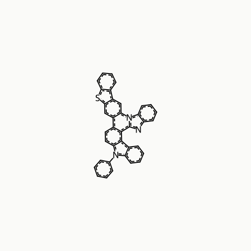 c1ccc(-n2c3ccccc3c3c4c(ccc32)c2cc3sc5ccccc5c3cc2n2c3ccccc3nc42)cc1